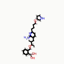 CC(Cc1ccc(CCCCO[C@@H]2CCNC2)nc1N)C(C)OCc1ccccc1B(O)O